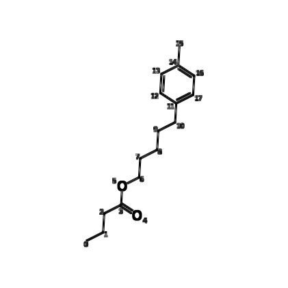 CCCC(=O)OCCCCCc1ccc(C)cc1